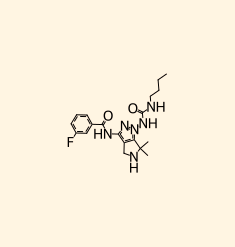 CCCCNC(=O)Nn1nc(NC(=O)c2cccc(F)c2)c2c1C(C)(C)NC2